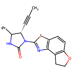 CC#C[C@H]1C(C(C)C)NC(=O)N1c1nc2c3c(ccc2s1)OCC3